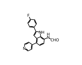 O=CNc1ccc(-c2ccncc2)c2cc(-c3ccc(F)cc3)[nH]c12